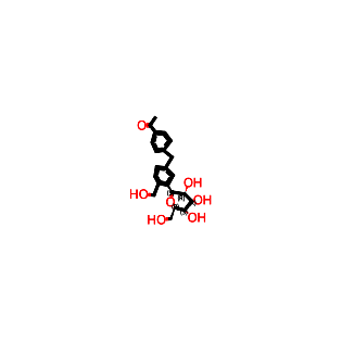 CC(=O)c1ccc(Cc2ccc(CO)c([C@@H]3O[C@H](CO)[C@@H](O)[C@H](O)[C@H]3O)c2)cc1